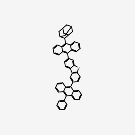 c1ccc(-c2c3ccccc3c(-c3ccc4oc5cc(-c6c7ccccc7c(C7C8CC9CC(C8)CC7C9)c7ccccc67)ccc5c4c3)c3ccccc23)cc1